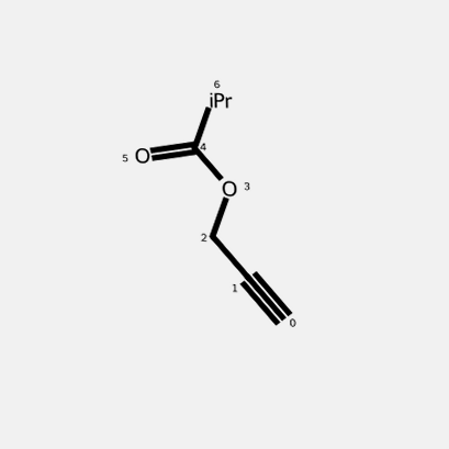 C#CCOC(=O)C(C)C